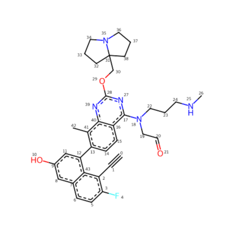 C#Cc1c(F)ccc2cc(O)cc(-c3ccc4c(N(CC=O)CCCNC)nc(OCC56CCCN5CCC6)nc4c3C)c12